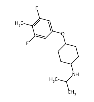 Cc1c(F)cc(OC2CCC(NC(C)C)CC2)cc1F